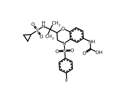 CC(C)(NS(=O)(=O)C1CC1)C1CN(S(=O)(=O)c2ccc(F)cc2)c2cc(NC(=O)O)ccc2O1